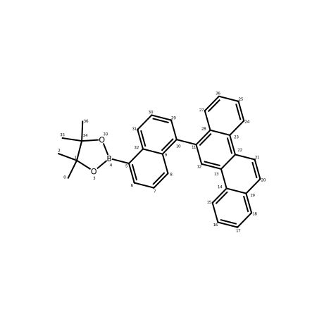 CC1(C)OB(c2cccc3c(-c4cc5c6ccccc6ccc5c5ccccc45)cccc23)OC1(C)C